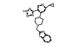 c1ccc2sc(CN3CCN(c4cc(C5CC5)ncc4-c4nn[nH]n4)CC3)nc2c1